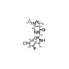 Cc1nn(C2CC2)c2cnn(CC(=O)NC(C)c3ccc(Cl)cc3F)c(=O)c12